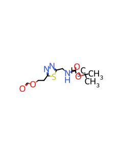 CC(C)(C)OC(=O)NCc1nnc(CCOC=O)s1